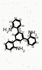 Nc1ccccc1-c1cc(-c2ccccc2N)cc(-c2ccccc2N)c1